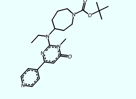 CCN(c1nc(-c2ccncc2)cc(=O)n1C)C1CCCN(C(=O)OC(C)(C)C)CC1